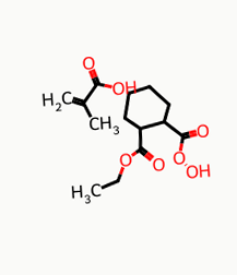 C=C(C)C(=O)O.CCOC(=O)C1CCCCC1C(=O)OO